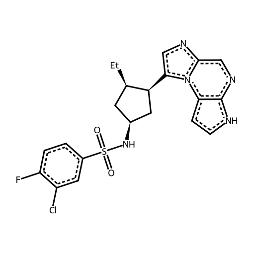 CC[C@@H]1C[C@H](NS(=O)(=O)c2ccc(F)c(Cl)c2)C[C@@H]1c1cnc2cnc3[nH]ccc3n12